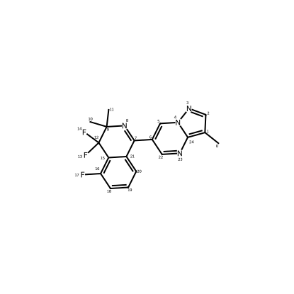 Cc1cnn2cc(C3=NC(C)(C)C(F)(F)c4c(F)cccc43)cnc12